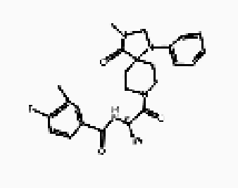 Cc1cc(C(=O)N[C@@H](C(=O)N2CCC3(CC2)C(=O)N(C)CN3c2ccccc2)C(C)C)ccc1F